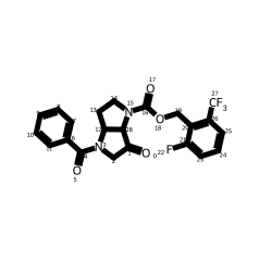 O=C1CN(C(=O)c2ccccc2)C2CCN(C(=O)OCc3c(F)cccc3C(F)(F)F)C12